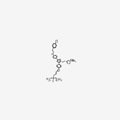 CCC(I)(CC)CCCOc1ccc(-n2cc(-c3ccc(OCCc4ccc(Cl)cc4)cc3)nc2CCC2=CC=CN(C)C2)cc1.N